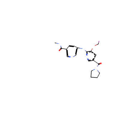 CNC(=O)C1=C=NC=C(Nc2ncc(C(=O)N3CCCC3)cc2OCI)C=C1